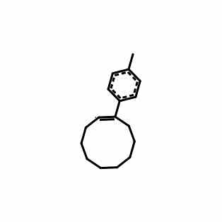 Cc1ccc(/C2=[C]/CCCCCCCC2)cc1